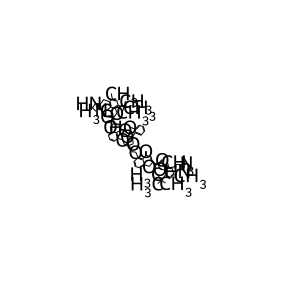 Cc1cc(C(C)(C)C)c(OC(=O)c2cc(=O)c3c(OCC(COc4cccc5oc(C(=O)Oc6c(C(C)(C)C)cc(C)c(CC7=NCCN7)c6C)cc(=O)c45)OC(=O)c4ccccc4O)cccc3o2)c(C)c1CC1=NCCN1